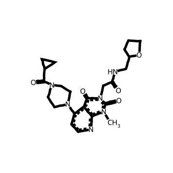 Cn1c(=O)n(CC(=O)NCC2CCCO2)c(=O)c2c(N3CCN(C(=O)C4CC4)CC3)ccnc21